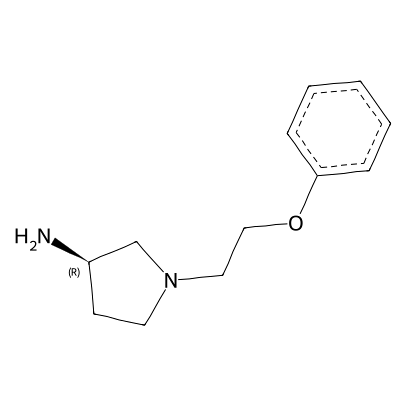 N[C@@H]1CCN(CCOc2ccccc2)C1